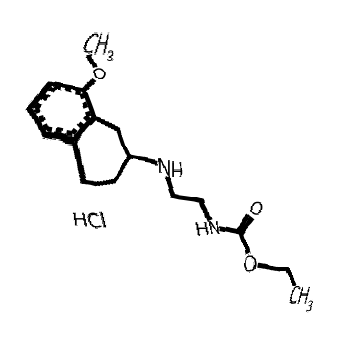 CCOC(=O)NCCNC1CCc2cccc(OC)c2C1.Cl